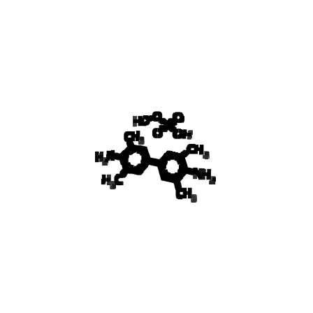 Cc1cc(-c2cc(C)c(N)c(C)c2)cc(C)c1N.O=S(=O)(O)OO